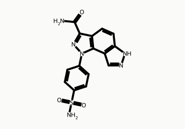 NC(=O)c1nn(-c2ccc(S(N)(=O)=O)cc2)c2c1ccc1[nH]ncc12